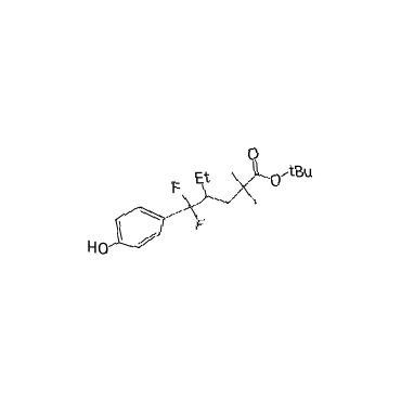 CCC(CC(C)(C)C(=O)OC(C)(C)C)C(F)(F)c1ccc(O)cc1